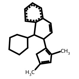 CC1=CC(C)=C(C2C=Cc3ccccc3C2C2CCCCC2)C1